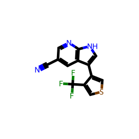 N#Cc1cnc2[nH]cc(-c3cscc3C(F)(F)F)c2c1